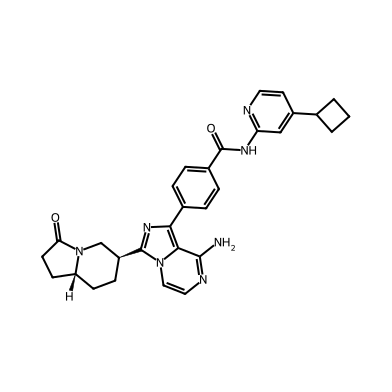 Nc1nccn2c([C@H]3CC[C@@H]4CCC(=O)N4C3)nc(-c3ccc(C(=O)Nc4cc(C5CCC5)ccn4)cc3)c12